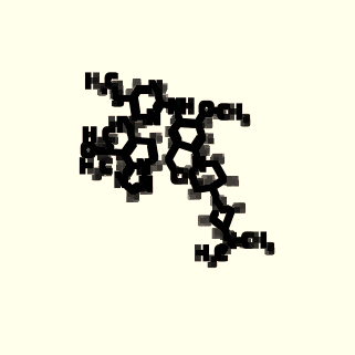 CCc1cc(Nc2ncc(SC)c(Nc3ccn4ncnc4c3P(C)(C)=O)n2)c(OC)cc1N1CCC(N2CC(N(C)C)C2)CC1